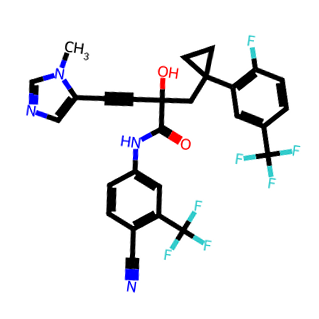 Cn1cncc1C#CC(O)(CC1(c2cc(C(F)(F)F)ccc2F)CC1)C(=O)Nc1ccc(C#N)c(C(F)(F)F)c1